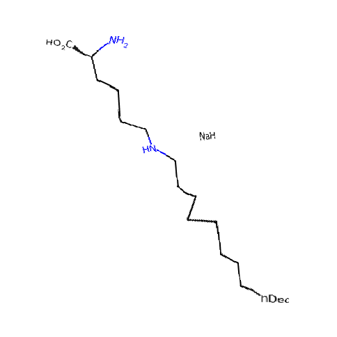 CCCCCCCCCCCCCCCCCCNCCCC[C@H](N)C(=O)O.[NaH]